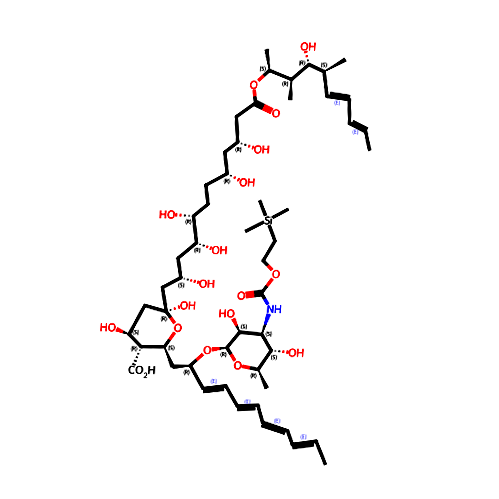 C/C=C/C=C/C=C/C=C/[C@@H](C[C@@H]1O[C@](O)(C[C@@H](O)C[C@@H](O)[C@H](O)CC[C@@H](O)C[C@@H](O)CC(=O)O[C@@H](C)[C@H](C)[C@H](O)[C@@H](C)/C=C/C=C/C)C[C@H](O)[C@H]1C(=O)O)O[C@@H]1O[C@H](C)[C@@H](O)[C@H](NC(=O)OCC[Si](C)(C)C)[C@@H]1O